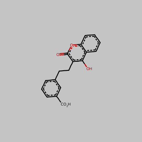 O=C(O)c1cccc(CCc2c(O)c3ccccc3oc2=O)c1